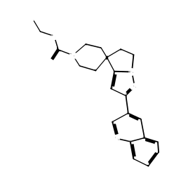 CCNC(=O)N1CCC2(CC1)CCn1nc(-c3cnc4ccccc4c3)cc12